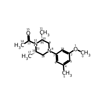 COc1cc(C)cc(N2C[C@@H](C)N(C(C)=O)[C@@H](C)C2)c1